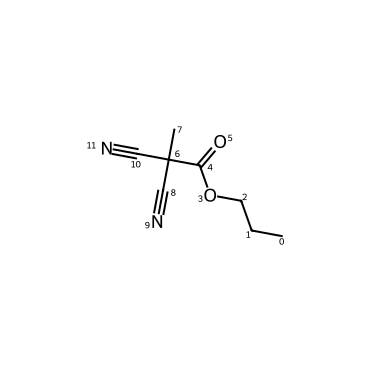 CCCOC(=O)C(C)(C#N)C#N